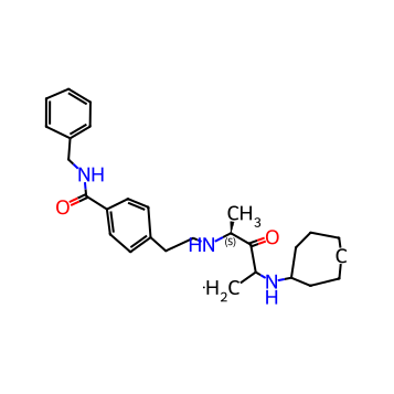 [CH2]C(NC1CCCCCC1)C(=O)[C@H](C)NCCc1ccc(C(=O)NCc2ccccc2)cc1